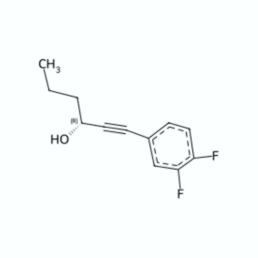 CCC[C@@H](O)C#Cc1ccc(F)c(F)c1